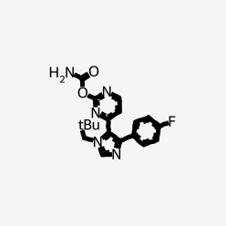 CC(C)(C)Cn1cnc(-c2ccc(F)cc2)c1-c1ccnc(OC(N)=O)n1